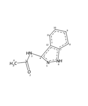 CC(=O)Nc1n[nH]c2ccccc12